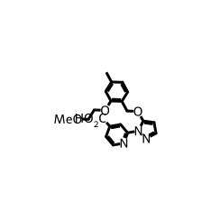 COCCOc1cc(C)ccc1COc1ccnn1-c1cc(C(=O)O)ccn1